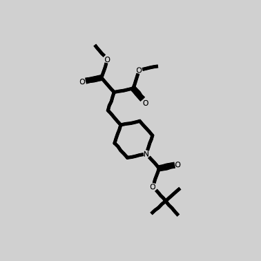 COC(=O)C(CC1CCN(C(=O)OC(C)(C)C)CC1)C(=O)OC